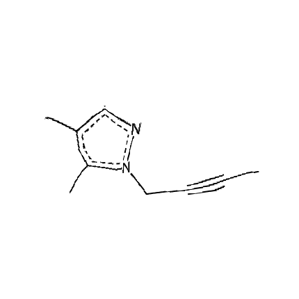 CC#CCn1n[c]c(C)c1C